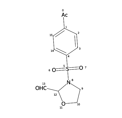 CC(=O)c1ccc(S(=O)(=O)N2CCOC2C=O)cc1